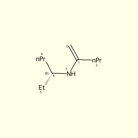 C=C(CCC)N[C@H](CC)CCC